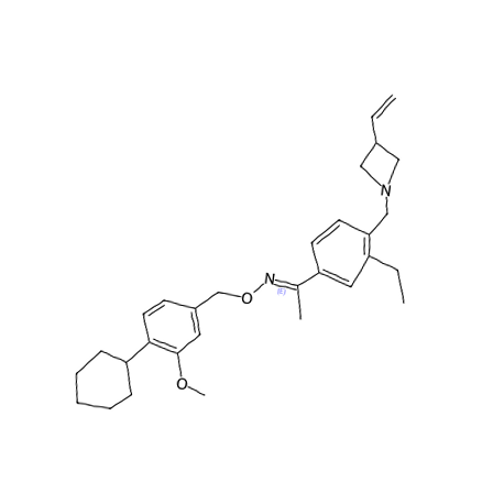 C=CC1CN(Cc2ccc(/C(C)=N/OCc3ccc(C4CCCCC4)c(OC)c3)cc2CC)C1